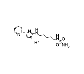 NS(=O)(=O)NCCCCCNc1nc(-c2ccccn2)cs1.[H+]